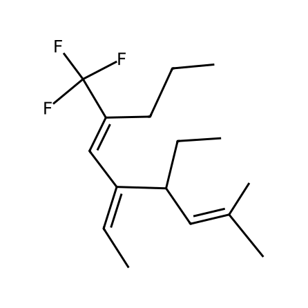 C/C=C(/C=C(\CCC)C(F)(F)F)C(C=C(C)C)CC